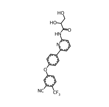 N#Cc1cc(Oc2ccc(-c3cccc(NC(=O)C(O)CO)n3)cc2)ccc1C(F)(F)F